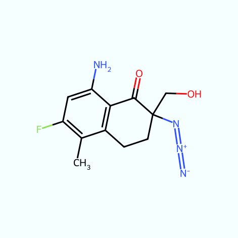 Cc1c(F)cc(N)c2c1CCC(CO)(N=[N+]=[N-])C2=O